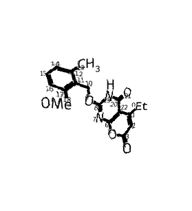 CCc1cc(=O)oc2nc(OCc3c(C)cccc3OC)[nH]c(=O)c12